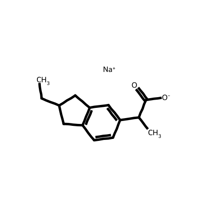 CCC1Cc2ccc(C(C)C(=O)[O-])cc2C1.[Na+]